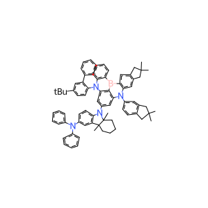 CC1(C)Cc2ccc(N3c4cc5c(cc4B4c6ccccc6N(c6ccc(C(C)(C)C)cc6-c6ccccc6)c6cc(N7c8ccc(N(c9ccccc9)c9ccccc9)cc8C8(C)CCCCC78C)cc3c64)CC(C)(C)C5)cc2C1